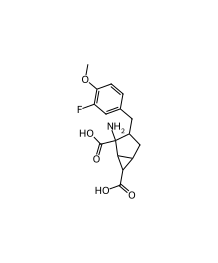 COc1ccc(CC2CC3C(C(=O)O)C3C2(N)C(=O)O)cc1F